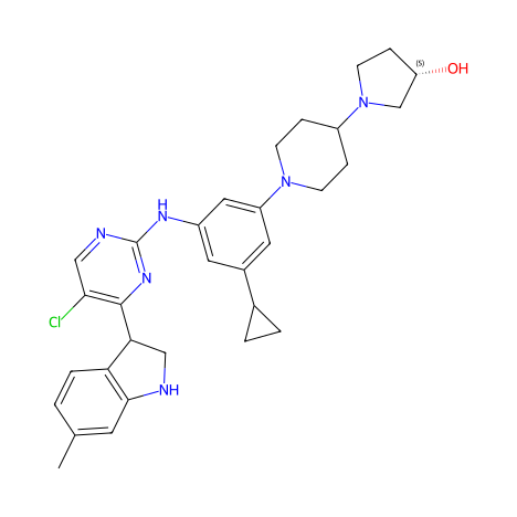 Cc1ccc2c(c1)NCC2c1nc(Nc2cc(C3CC3)cc(N3CCC(N4CC[C@H](O)C4)CC3)c2)ncc1Cl